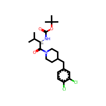 CC(C)[C@H](NC(=O)OC(C)(C)C)C(=O)N1CCC(Cc2ccc(Cl)c(Cl)c2)CC1